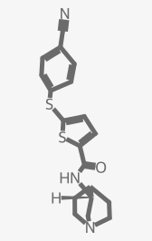 N#Cc1ccc(Sc2ccc(C(=O)N[C@H]3CN4CCC3CC4)s2)cc1